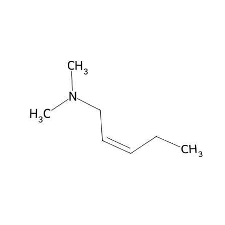 CC/C=C\CN(C)C